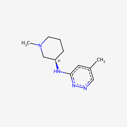 Cc1cnnc(N[C@@H]2CCCN(C)C2)c1